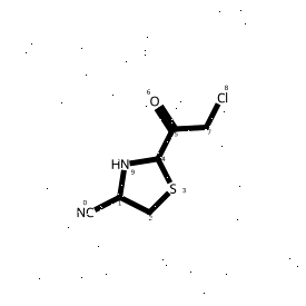 N#CC1CSC(C(=O)CCl)N1